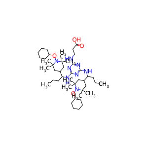 CCCC(Nc1nc(NCCC(=O)O)nc(NC(CCC)C2CC(C)(C)N(OC3CCCCC3)C(C)(C)C2)n1)C1CC(C)(C)N(OC2CCCCC2)C(C)(C)C1